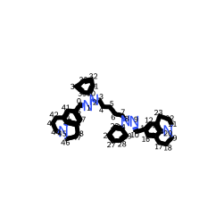 C(=N\N(CCCCCN(/N=C/c1cc2c3c(c1)CCCN3CCC2)c1ccccc1)c1ccccc1)/c1cc2c3c(c1)CCCN3CCC2